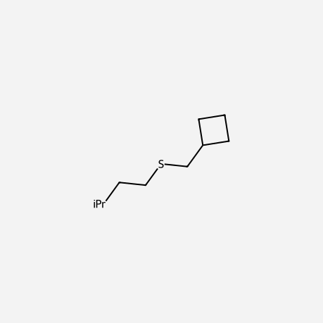 CC(C)CCSCC1CCC1